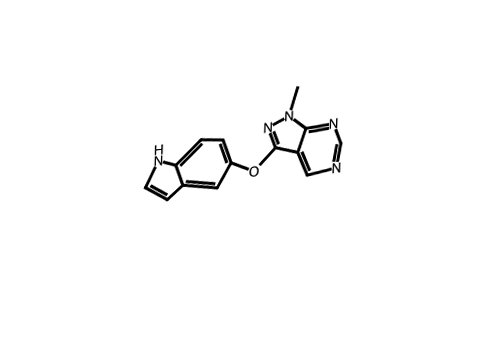 Cn1nc(Oc2ccc3[nH]ccc3c2)c2cncnc21